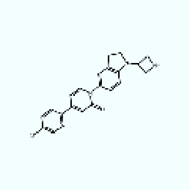 O=c1cc(-c2ccc(Cl)cn2)ccn1-c1ccc2c(c1)CCN2C1CNC1